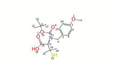 COc1ccc(CN(C(=O)OC(C)(C)C)[C@H](C(=O)O)C(C)(C)S)cc1